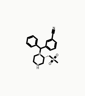 CS(=O)(=O)C[C@@H]1CNCCN1C(c1ccccc1)c1cccc(C#N)c1